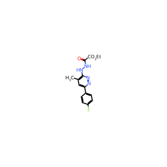 CCOC(=O)C(=O)NNc1nnc(-c2ccc(F)cc2)cc1C